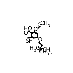 COCOc1cc(OCC[Si](C)(C)C)cc(CS)c1C(=O)O